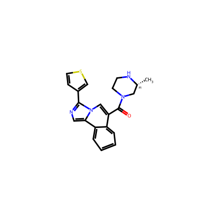 C[C@@H]1CN(C(=O)c2cn3c(-c4ccsc4)ncc3c3ccccc23)CCN1